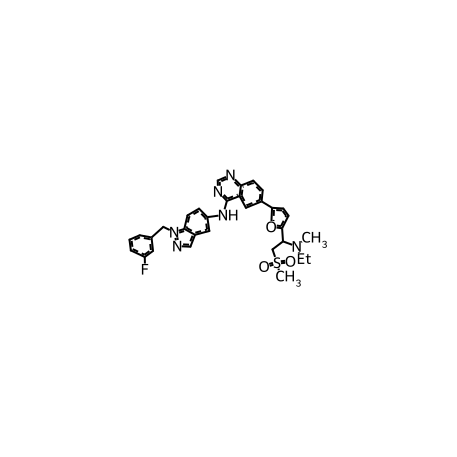 CCN(C)C(CS(C)(=O)=O)c1ccc(-c2ccc3ncnc(Nc4ccc5c(cnn5Cc5cccc(F)c5)c4)c3c2)o1